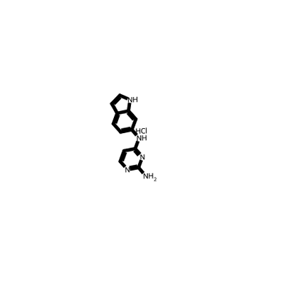 Cl.Nc1nccc(Nc2ccc3cc[nH]c3c2)n1